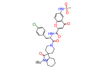 CC(C)(C)NC(=O)C1(C2CCCCC2)CCN(C(=O)[C@@H](Cc2ccc(Cl)cc2)NC(=O)c2cc(=O)c3cc(NS(C)(=O)=O)ccc3o2)CC1